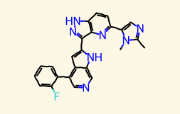 Cc1ncc(-c2ccc3[nH]nc(-c4cc5c(-c6ccccc6F)cncc5[nH]4)c3n2)n1C